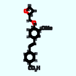 COc1cc(C=Cc2ccc(C(=O)O)cc2)ccc1OCC1CCO1